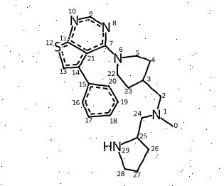 CN(CC1CCN(c2ncnc3scc(-c4ccccc4)c23)CC1)CC1CCCN1